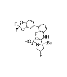 CC(C)(C)[C@]1(C(=O)Nc2cccc(-c3ccc4c(c3)OC(F)(F)O4)c2F)C[C@@H](F)CN1C(=O)O